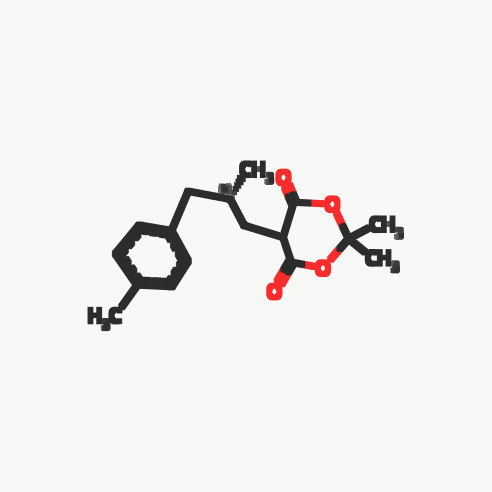 Cc1ccc(C[C@H](C)CC2C(=O)OC(C)(C)OC2=O)cc1